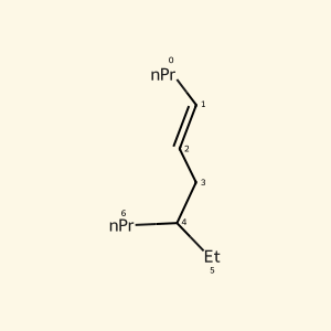 [CH2]CC/C=C/CC(CC)CC[CH2]